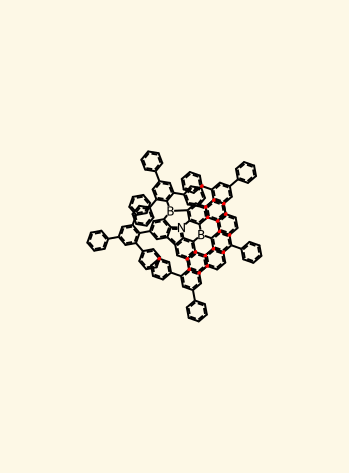 c1ccc(-c2cc(-c3ccccc3)c(B3c4cc(-c5c(-c6ccccc6)cc(-c6ccccc6)cc5-c5ccccc5)cc5c4-n4c6c3cc(-c3c(-c7ccccc7)cc(-c7ccccc7)cc3-c3ccccc3)cc6c3cc(-c6c(-c7ccccc7)cc(-c7ccccc7)cc6-c6ccccc6)cc(c34)B5c3c(-c4ccccc4)cc(-c4ccccc4)cc3-c3ccccc3)c(-c3ccccc3)c2)cc1